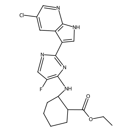 CCOC(=O)C1CCCCC1Nc1nc(-c2c[nH]c3ncc(Cl)cc23)ncc1F